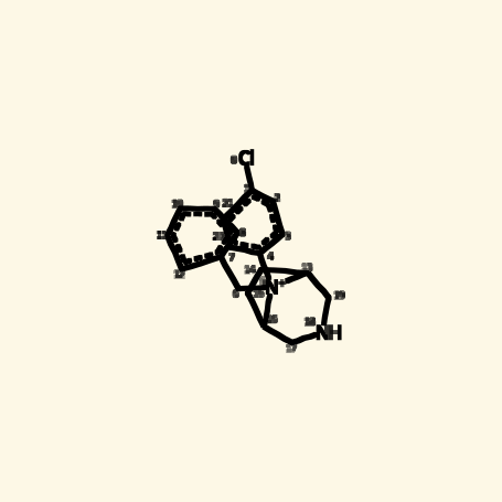 Clc1ccc([N+]2(Cc3ccccc3)C3CCC2CNC3)cc1